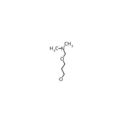 CN(C)COCCC[O]